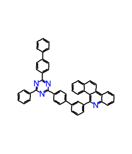 c1ccc(-c2ccc(-c3nc(-c4ccccc4)nc(-c4ccc(-c5cccc(-c6nc7ccccc7c7ccc8ccccc8c67)c5)cc4)n3)cc2)cc1